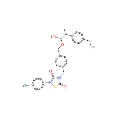 CC(C)Cc1ccc(C(C)C(O)OCc2ccc(Cn3c(=O)sn(-c4ccc(Cl)cc4)c3=O)cc2)cc1